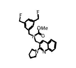 COC(=O)N(Cc1cc(CF)cc(CF)c1)Cc1cc2ccccc2nc1N1CCCC1